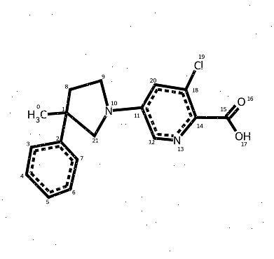 CC1(c2ccccc2)CCN(c2cnc(C(=O)O)c(Cl)c2)C1